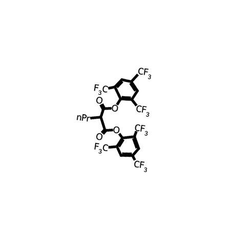 CCCC(C(=O)Oc1c(C(F)(F)F)cc(C(F)(F)F)cc1C(F)(F)F)C(=O)Oc1c(C(F)(F)F)cc(C(F)(F)F)cc1C(F)(F)F